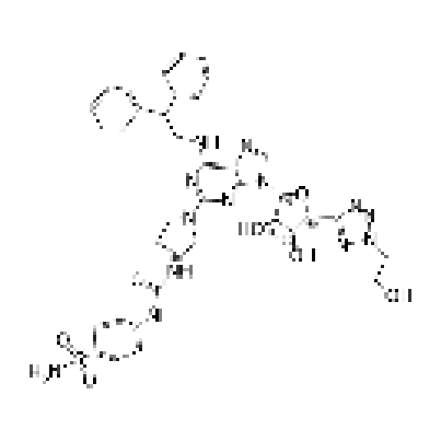 NS(=O)(=O)c1ccc(NC(=O)N[C@@H]2CCN(c3nc(NCC(c4ccccc4)c4ccccc4)c4ncn([C@@H]5O[C@H](c6nnn(CCO)n6)[C@@H](O)[C@H]5O)c4n3)C2)cc1